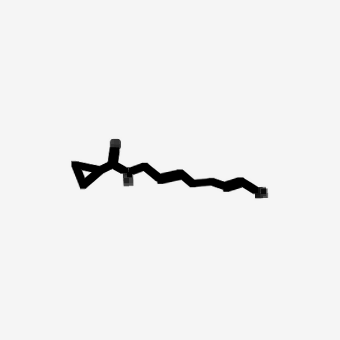 CCC=CCCC=CCNC(=O)C1CC1